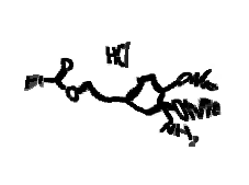 CCC(=O)OCCC1=CC=C(OC)C(N)(OC)C1.Cl